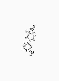 COc1cncc(-c2ccc(C#N)c(F)c2)n1